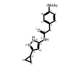 CC(=O)Nc1ccc(CC(=O)Nc2cc(C3CC3)n[nH]2)cc1